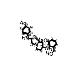 COc1cccc(CO)c1NC1CCN(CC(=O)Nc2ccc(C(C)=O)cc2)CC1